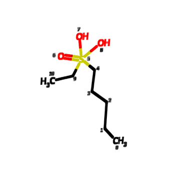 CCCCCS(=O)(O)(O)CC